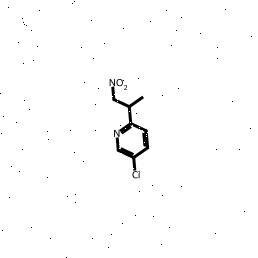 CC(C[N+](=O)[O-])c1ccc(Cl)cn1